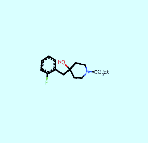 CCOC(=O)N1CCC(O)(Cc2ccccc2F)CC1